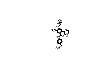 CC(C)(O)CNc1cc(C2CNCCO2)c(C(=O)Nc2ccc(OC(F)(F)F)cc2)cc1[N+](=O)[O-]